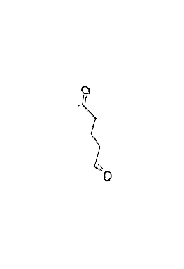 O=[C]CCCC=O